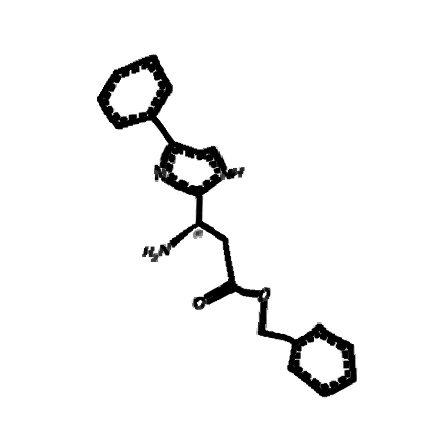 N[C@H](CC(=O)OCc1ccccc1)c1nc(-c2ccccc2)c[nH]1